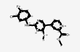 COC(=O)c1cc(-c2cnc(Nc3ccc(F)c(Cl)c3)nc2SC)ccn1